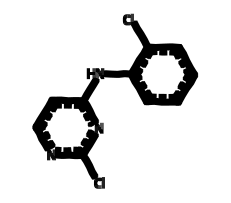 Clc1nccc(Nc2ccccc2Cl)n1